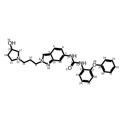 O=C(Nc1ccc2cn(CCCN3CCC(O)C3)nc2c1)Nc1ccccc1Oc1ccccc1